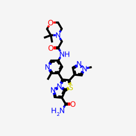 Cc1ncc(NC(=O)CN2CCOCC2(C)C)cc1-c1c(-c2cnn(C)c2)sc2c(C(N)=O)cnn12